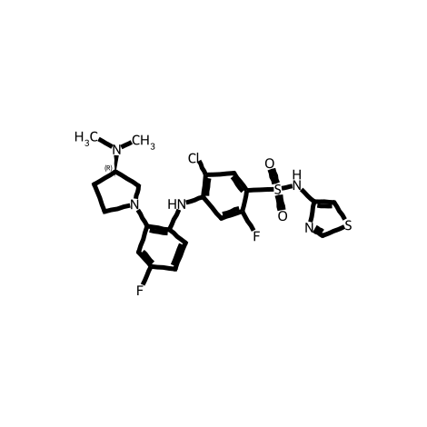 CN(C)[C@@H]1CCN(c2cc(F)ccc2Nc2cc(F)c(S(=O)(=O)Nc3cscn3)cc2Cl)C1